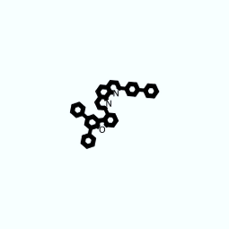 c1ccc(-c2ccc(-c3ccc4ccc5ccc(-c6cccc7oc8c(-c9ccccc9)cc(-c9ccccc9)cc8c67)nc5c4n3)cc2)cc1